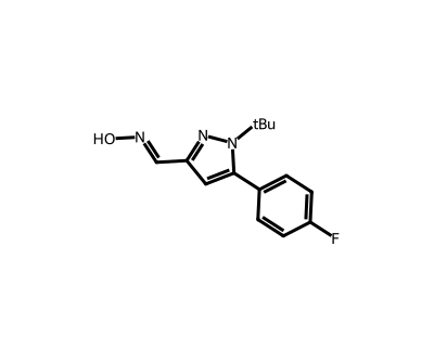 CC(C)(C)n1nc(C=NO)cc1-c1ccc(F)cc1